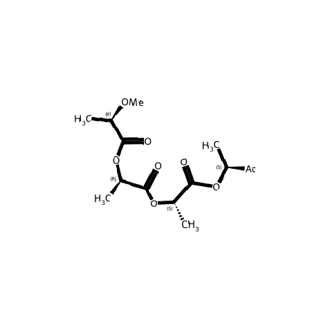 CO[C@H](C)C(=O)O[C@H](C)C(=O)O[C@@H](C)C(=O)O[C@@H](C)C(C)=O